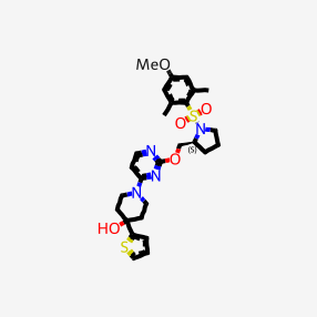 COc1cc(C)c(S(=O)(=O)N2CCC[C@H]2COc2nccc(N3CCC(O)(c4cccs4)CC3)n2)c(C)c1